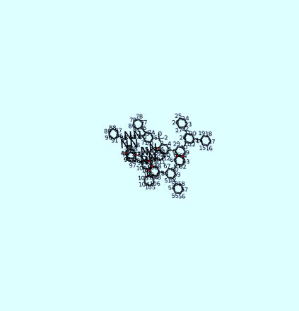 CC1(C)c2cc(-c3cccc(-c4cc(-c5ccccc5)cc(-c5ccccc5)c4)c3)ccc2N(c2nc(-c3ccccc3)nc(-c3cccc(-c4cc(-c5ccccc5)cc(-c5ccccc5)c4)c3)n2)c2cc3c(cc21)c1ccccc1n3-c1nc(-c2ccccc2)nc(-c2cccc(-c3cc(-c4ccccc4)cc(-c4ccccc4)c3)c2)n1